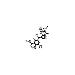 CCCS(=O)(=O)Oc1c(C(=O)c2cc(Cl)c3c(c2C)C(SCC)CCS3)cnn1CC